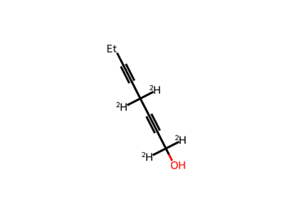 [2H]C([2H])(O)C#CC([2H])([2H])C#CCC